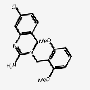 COc1cccc(OC)c1CN1Cc2ccc(Cl)cc2N=C1N